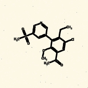 CCc1c(Cl)cc(C(C)=O)c(OC)c1-c1cncc(S(C)(=O)=O)c1